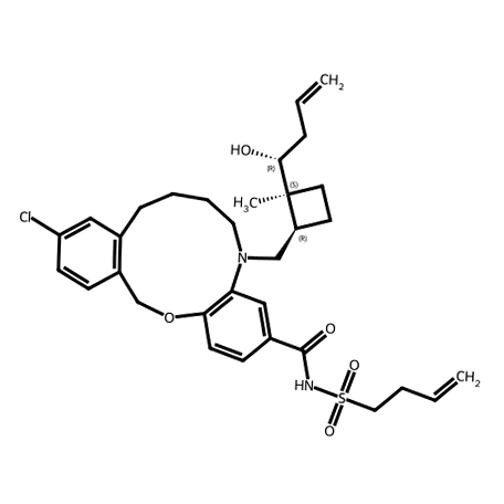 C=CCCS(=O)(=O)NC(=O)c1ccc2c(c1)N(C[C@@H]1CC[C@]1(C)[C@H](O)CC=C)CCCCc1cc(Cl)ccc1CO2